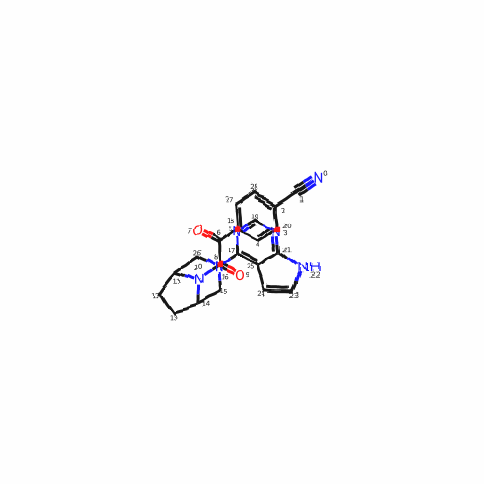 N#Cc1ccc(C(=O)C(=O)N2C3CCC2CN(c2ncnc4[nH]ccc24)C3)cc1